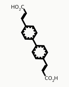 O=C(O)C=Cc1ccc(-c2ccc(C=CC(=O)O)cc2)cc1